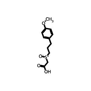 COc1ccc(CCC[S+]([O-])CC(=O)O)cc1